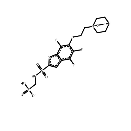 O=P([O-])(O)CNS(=O)(=O)c1cc2c(F)c(F)c(OCC[N+]34CCN(CC3)CC4)c(F)c2s1